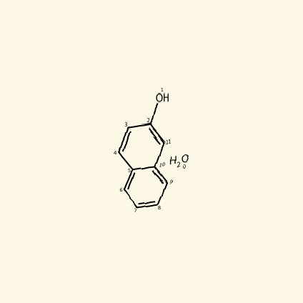 O.Oc1ccc2ccccc2c1